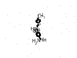 CCc1ccc(OCCNS(=O)(=O)c2ccc(C(=N)N)cc2)cc1